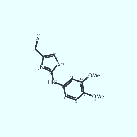 COc1ccc(Nc2nc(CC(C)=O)cs2)cc1OC